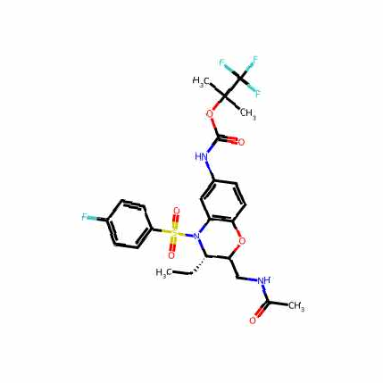 CC[C@H]1C(CNC(C)=O)Oc2ccc(NC(=O)OC(C)(C)C(F)(F)F)cc2N1S(=O)(=O)c1ccc(F)cc1